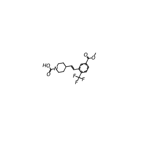 COC(=O)c1ccc(C(F)(F)F)c(/C=C/C2CCN(C(=O)O)CC2)c1